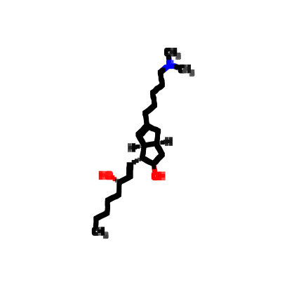 CCCCC[C@H](O)/C=C/[C@@H]1[C@H]2C=C(CCCCCN(C)C)C[C@H]2C[C@H]1O